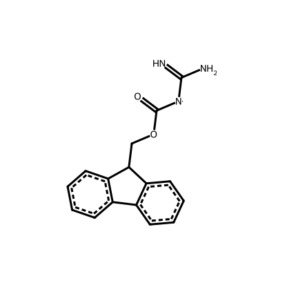 N=C(N)[N]C(=O)OCC1c2ccccc2-c2ccccc21